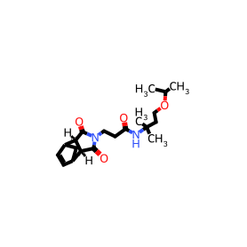 CC(C)OCCC(C)(C)NC(=O)CCN1C(=O)[C@@H]2C3C=CC(C3)[C@@H]2C1=O